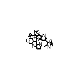 Cc1nnn(C)c1-c1cnc2c3snc(C4(O)CC4)c3n(C(c3ncccc3F)C3CCOCC3)c2c1